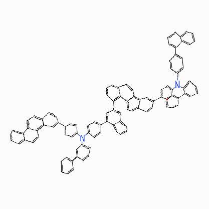 c1ccc(-c2cccc(N(c3ccc(-c4ccc5ccc6c7ccccc7ccc6c5c4)cc3)c3ccc(-c4cc(-c5cccc6ccc7c8cc(-c9ccc(N(c%10ccc(-c%11cccc%12ccccc%11%12)cc%10)c%10ccccc%10-c%10ccccc%10)cc9)ccc8ccc7c56)cc5ccccc45)cc3)c2)cc1